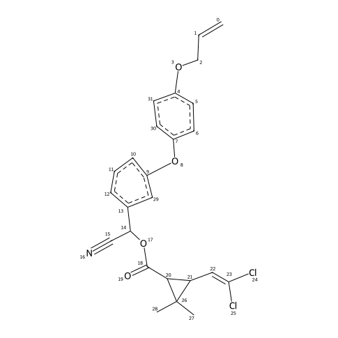 C=CCOc1ccc(Oc2cccc(C(C#N)OC(=O)C3C(C=C(Cl)Cl)C3(C)C)c2)cc1